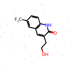 O=c1[nH]c2ccc(C(F)(F)F)cc2cc1CCO